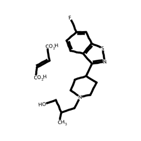 CC(CO)CN1CCC(c2nsc3cc(F)ccc23)CC1.O=C(O)C=CC(=O)O